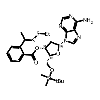 CCSSC(C)c1ccccc1C(=O)O[C@@H]1C[C@H](n2cnc3c(N)ncnc32)O[C@@H]1CO[Si](C)(C)C(C)(C)C